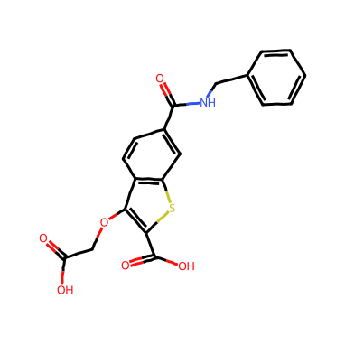 O=C(O)COc1c(C(=O)O)sc2cc(C(=O)NCc3ccccc3)ccc12